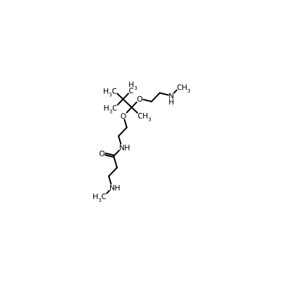 CNCCOC(C)(OCCNC(=O)CCNC)C(C)(C)C